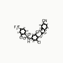 N#Cc1ccc2sc(Sc3c(Cl)cc(NS(=O)(=O)c4ccc(C(F)(F)F)cc4Cl)cc3Cl)nc2c1